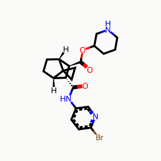 O=C(OC1CCCNC1)[C@H]1[C@H](C(=O)Nc2ccc(Br)nc2)[C@@H]2CC[C@H]1C21CC1